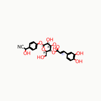 N#CC(O)c1ccc(O[C@@H]2O[C@H](CO)[C@@H](OC(=O)/C=C/c3ccc(O)c(O)c3)[C@H](O)[C@H]2O)cc1